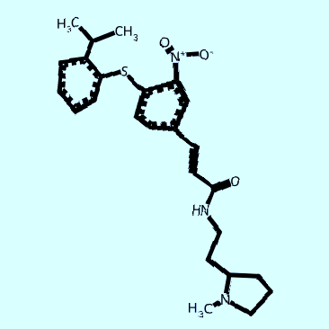 CC(C)c1ccccc1Sc1ccc(C=CC(=O)NCCC2CCCN2C)cc1[N+](=O)[O-]